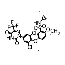 COc1ccc(Oc2c(Cl)cc(-n3nc(C(F)(F)F)c(=O)[nH]c3=O)cc2Cl)cc1S(=O)(=O)NC1CC1